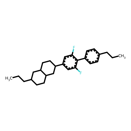 CCCc1ccc(-c2c(F)cc(C3CCC4CC(CCC)CCC4C3)cc2F)cc1